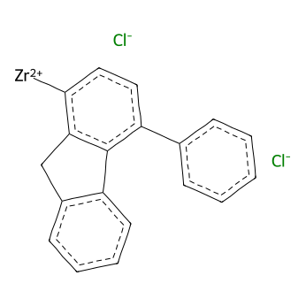 [Cl-].[Cl-].[Zr+2][c]1ccc(-c2ccccc2)c2c1Cc1ccccc1-2